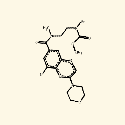 CC(C)N(CCN(C)C(=O)c1cc(Br)c2nc(N3CCOCC3)cnc2c1)C(=O)OC(C)(C)C